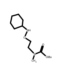 CC(C)COC(=O)N(C)CCONC1CCCCC1